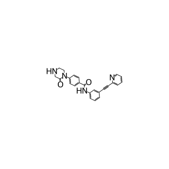 O=C(Nc1cccc(C#Cc2ccccn2)c1)c1ccc(N2CCNCC2=O)cc1